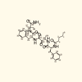 CCCCC(=O)N[C@@H](Cc1ccccc1)C(=O)NC(C)C(=O)C(=O)NC(Cc1ccccc1)C(=O)NC(C)(C)C(N)=O